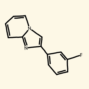 Fc1cccc(-c2cn3ccccc3n2)c1